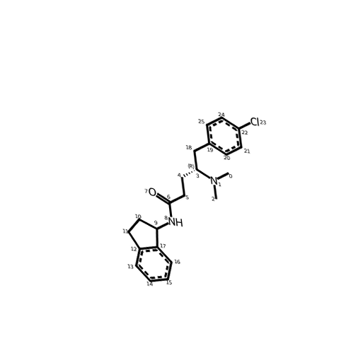 CN(C)[C@H](CCC(=O)NC1CCc2ccccc21)Cc1ccc(Cl)cc1